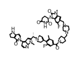 Cc1cc(C(=O)N2CCC(CN3CCN(Cc4cc5c(cc4F)n([C@H]4CCC(=O)NC4=O)c(=O)n5C)CC3)CC2)cc(F)c1C1=CCN([C@@H](C)c2cc3c(-n4ccc5c(c4=O)CCN5)ccnc3n2C)CC1